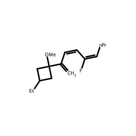 C=C(/C=C\C(F)=C/CCC)C1(OC)CC(CC)C1